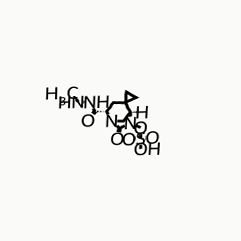 CNNC(=O)[C@@H]1CC2(CC2)[C@@H]2CN1C(=O)N2OS(=O)(=O)O